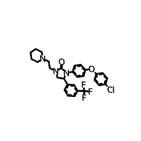 O=C1N(CCN2CCCCC2)CC(c2cccc(C(F)(F)F)c2)N1c1ccc(Oc2ccc(Cl)cc2)cc1